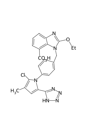 CCOc1nc2cccc(C(=O)O)c2n1Cc1ccc(-n2c(-c3nnn[nH]3)cc(C)c2Cl)cc1